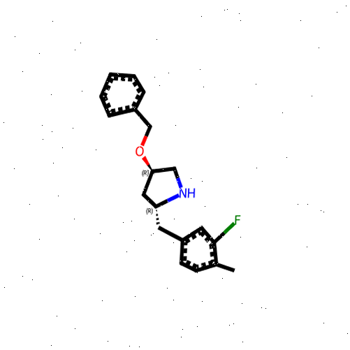 Cc1ccc(C[C@@H]2C[C@@H](OCc3ccccc3)CN2)cc1F